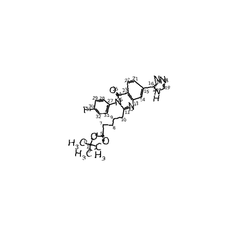 CC(C)(C)OC(=O)CCCCc1nc2cc(-c3nnc[nH]3)ccc2c(=O)n1-c1ccc(F)cc1